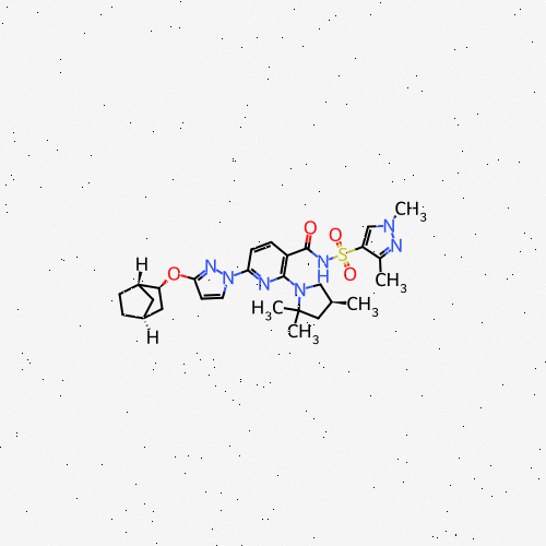 Cc1nn(C)cc1S(=O)(=O)NC(=O)c1ccc(-n2ccc(O[C@H]3C[C@H]4CC[C@H]3C4)n2)nc1N1C[C@@H](C)CC1(C)C